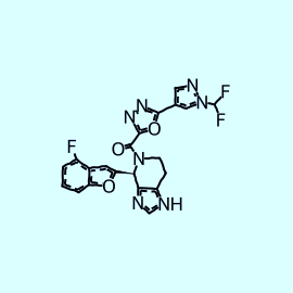 O=C(c1nnc(-c2cnn(C(F)F)c2)o1)N1CCc2[nH]cnc2[C@H]1c1cc2c(F)cccc2o1